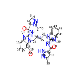 CCn1nc(C)cc1C(=O)/N=c1\n(C)c2cccc(C=O)c2n1C/C=C/Cn1/c(=N/C(=O)c2cc(C)n[nH]2)n(C)c2ccccc21